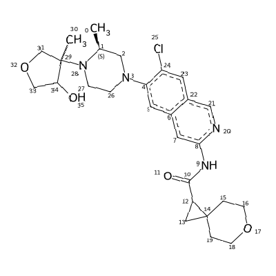 C[C@H]1CN(c2cc3cc(NC(=O)C4CC45CCOCC5)ncc3cc2Cl)CCN1C1(C)COCC1O